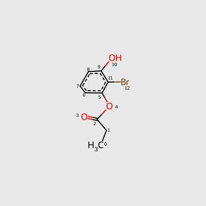 CCC(=O)Oc1cccc(O)c1Br